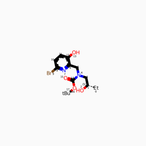 CC[C@H](O)CN(Cc1nc(Br)ccc1O)C(=O)OC(C)(C)C